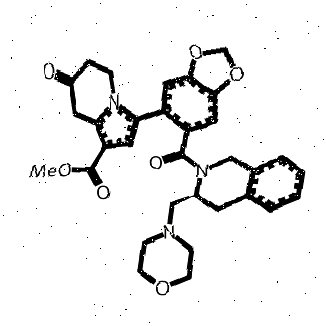 COC(=O)c1cc(-c2cc3c(cc2C(=O)N2Cc4ccccc4C[C@H]2CN2CCOCC2)OCO3)n2c1CC(=O)CC2